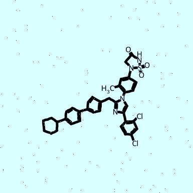 Cc1cc(N2CC(=O)NS2(=O)=O)ccc1-n1cc(-c2ccc(Cl)cc2Cl)nc1Cc1ccc(-c2ccc(C3CCCCC3)cc2)cc1